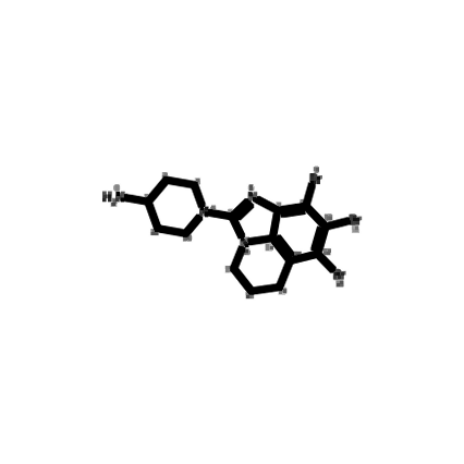 NC1CCN(c2nc3c(Br)c(Br)c(Br)c4c3n2CCC4)CC1